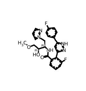 COC[C@H](O)[C@@H](Cn1cccn1)NC(=O)c1cccc(F)c1-c1cc(-c2ccc(F)cc2)[nH]n1